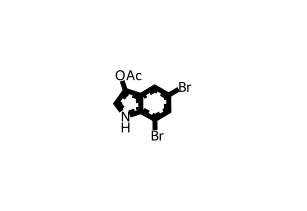 CC(=O)Oc1c[nH]c2c(Br)cc(Br)cc12